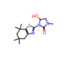 CN1CC(O)N(c2nc3c(s2)C(C)(C)CC(C)(C)C3)C1=O